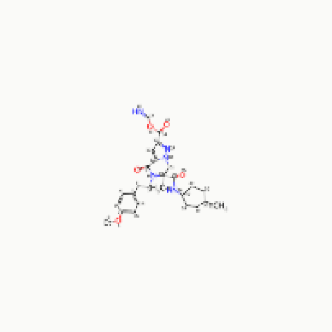 CCOc1ccc(CCN2C(=O)c3cc(C(=O)OC=N)nn3CC2(C)C(=O)NC2CCC(C)CC2)cc1